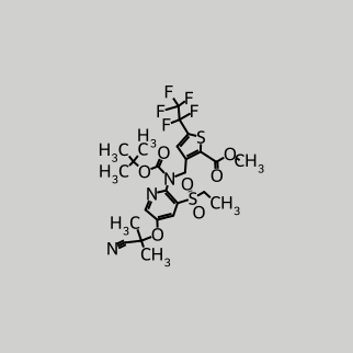 CCS(=O)(=O)c1cc(OC(C)(C)C#N)cnc1N(Cc1cc(C(F)(F)C(F)(F)F)sc1C(=O)OC)C(=O)OC(C)(C)C